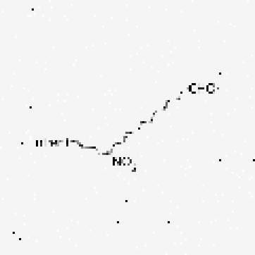 CCCCCC=CCC=C(CC=CCC=CCC=CCC[C]=O)[N+](=O)[O-]